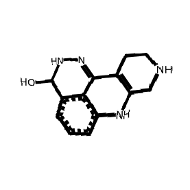 OC1NN=C2C3=C(CNCC3)Nc3cccc1c32